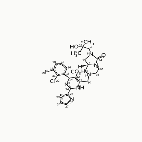 CC(C)(O)CN1C[C@H]2CN(CC3=C(C(=O)O)[C@H](c4cccc(F)c4Cl)N=C(c4nccs4)N3)CCN2C1=O